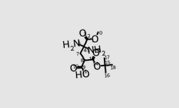 COC(=O)C(N)(N)CC(C(=O)O)C(=O)OC(C)(C)C